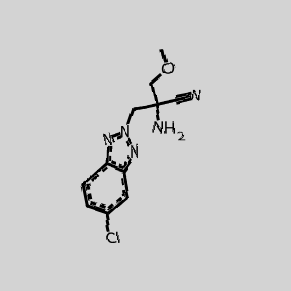 COCC(N)(C#N)Cn1nc2ccc(Cl)cc2n1